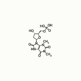 Cn1c(=O)c2[nH]c(=O)n([C@H]3C[C@H](O)[C@@H](COP(=O)(O)O)O3)c2n(C)c1=O